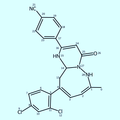 C/C1=C/C=C(/c2ccc(Cl)cc2Cl)CC2NC(c3ccc(C#N)cc3)=CC(=O)N2N1